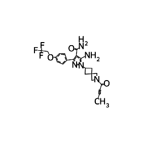 CC#CC(=O)N1CC2(CC(n3nc(-c4ccc(OCC(F)(F)F)cc4)c(C(N)=O)c3N)C2)C1